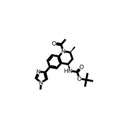 CC(=O)N1c2ccc(-c3cn(C)cn3)cc2[C@H](NC(=O)OC(C)(C)C)C[C@@H]1C